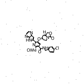 COc1nc(-c2cc3nccnc3[nH]2)c(O[C@H]2CCN3C(=O)OC[C@@H]3C2)cc1C(=O)NCc1ccc(Cl)cc1